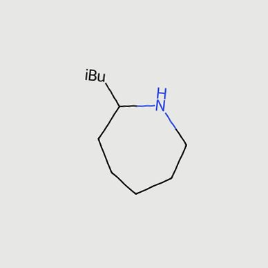 CCC(C)C1CCCCCN1